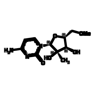 COC[C@H]1O[C@@H](n2ccc(N)nc2=O)[C@](C)(O)[C@@H]1O